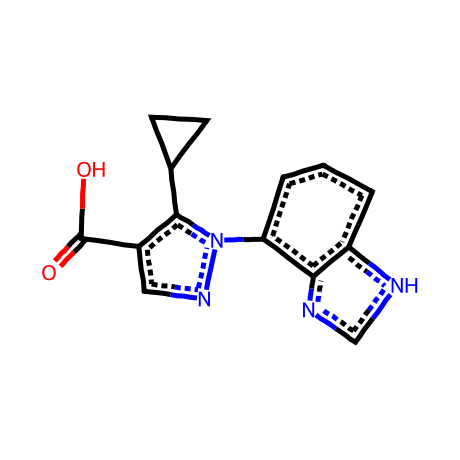 O=C(O)c1cnn(-c2cccc3[nH]cnc23)c1C1CC1